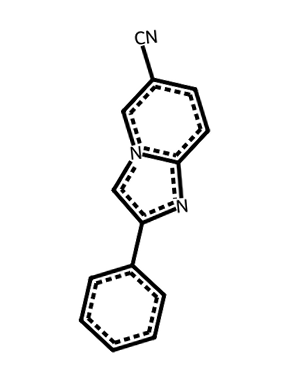 N#Cc1ccc2nc(-c3ccccc3)cn2c1